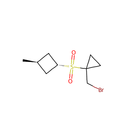 C[C@H]1C[C@H](S(=O)(=O)C2(CBr)CC2)C1